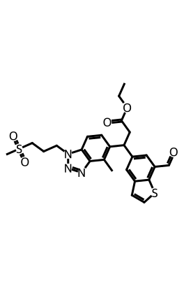 CCOC(=O)CC(c1cc(C=O)c2sccc2c1)c1ccc2c(nnn2CCCS(C)(=O)=O)c1C